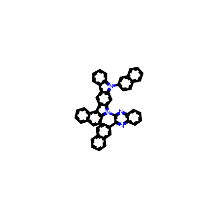 c1ccc2cc(-c3nc4ccccc4nc3-n3c4cc5c(cc4c4c6ccccc6ccc43)c3ccccc3n5-c3ccc4ccccc4c3)ccc2c1